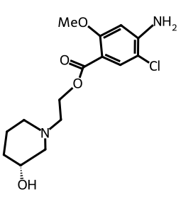 COc1cc(N)c(Cl)cc1C(=O)OCCN1CCC[C@@H](O)C1